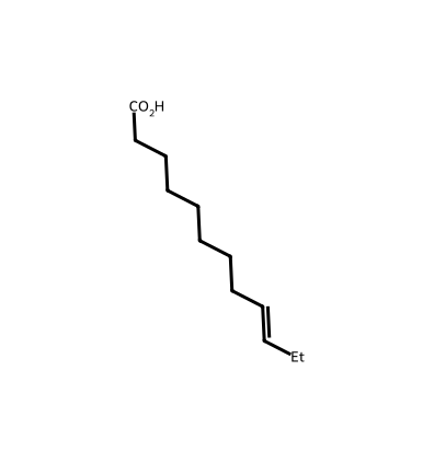 CCC=CCCCCCCCC(=O)O